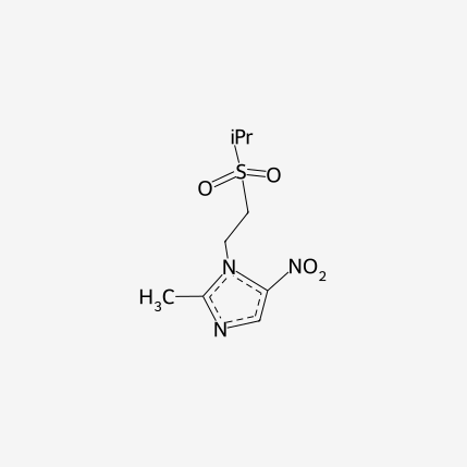 Cc1ncc([N+](=O)[O-])n1CCS(=O)(=O)C(C)C